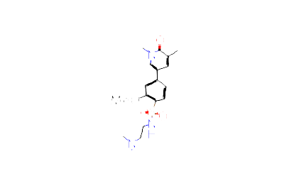 COc1cc(-c2cc(C)c(=O)n(C)c2)ccc1S(=O)(=O)NCCN(C)C